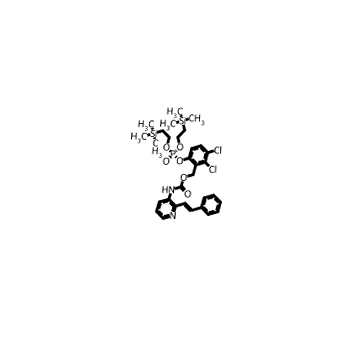 C[Si](C)(C)CCOP(=O)(OCC[Si](C)(C)C)Oc1ccc(Cl)c(Cl)c1COC(=O)Nc1cccnc1C=Cc1ccccc1